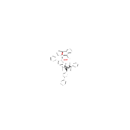 c1ccc(-c2ccc(-c3nc(-c4ccccc4)nc(-c4ccc5c(c4)C4(c6ccccc6Sc6c4ccc4ccccc64)c4ccccc4-c4ccccc4-5)n3)cc2)cc1